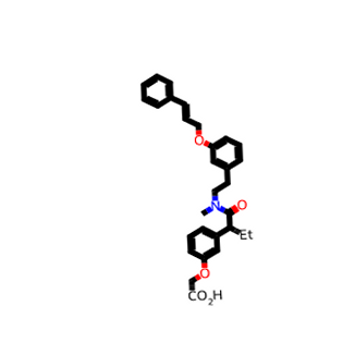 CCC(C(=O)N(C)CCc1cccc(OCC=Cc2ccccc2)c1)c1cccc(OCC(=O)O)c1